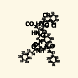 O=C(O)C[C@H](NC(=O)CN1C(=O)[C@@H](NC(=O)CCc2ccccc2)CN(C(=O)CCc2ccccc2)c2ccccc21)C(=O)c1ncc(-c2c(Cl)cccc2Cl)o1